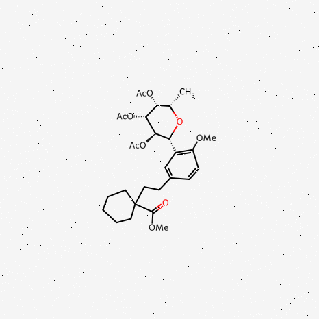 COC(=O)C1(CCc2ccc(OC)c([C@H]3O[C@@H](C)[C@@H](OC(C)=O)[C@@H](OC(C)=O)[C@@H]3OC(C)=O)c2)CCCCC1